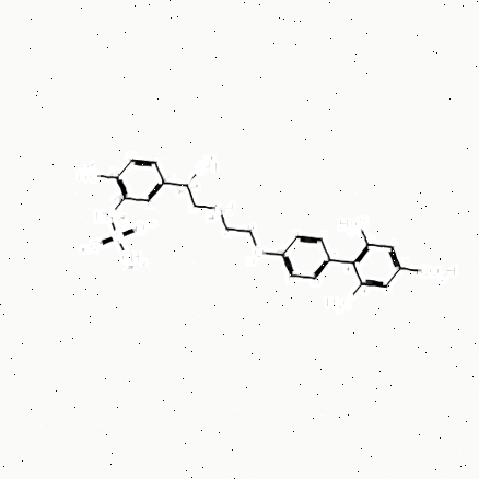 Cc1cc(C(=O)O)cc(C)c1-c1ccc(OCCNC[C@H](O)c2ccc(O)c(NS(C)(=O)=O)c2)cc1